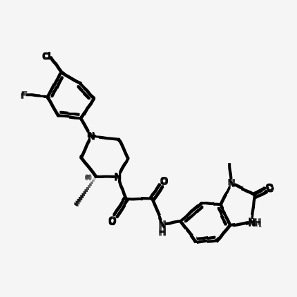 C[C@@H]1CN(c2ccc(Cl)c(F)c2)CCN1C(=O)C(=O)Nc1ccc2[nH]c(=O)n(C)c2c1